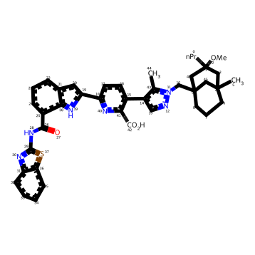 CCCC1(OC)CC2(C)CCCC(Cn3ncc(-c4ccc(-c5cc6cccc(C(=O)Nc7nc8ccccc8s7)c6[nH]5)nc4C(=O)O)c3C)(C2)C1